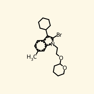 Cc1ccc2c(C3CCCCC3)c(Br)n(CCOC3CCCCO3)c2c1